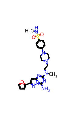 CNS(=O)(=O)c1ccc(N2CCN(CCN(C)c3nc(N)n4nc(-c5ccco5)cc4n3)CC2)cc1